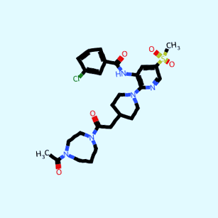 CC(=O)N1CCCN(C(=O)CC2CCN(c3ncc(S(C)(=O)=O)cc3NC(=O)c3cccc(Cl)c3)CC2)CC1